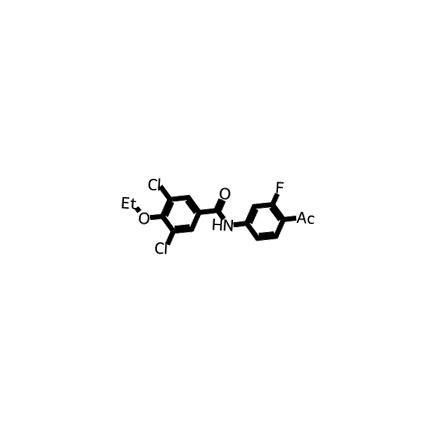 CCOc1c(Cl)cc(C(=O)Nc2ccc(C(C)=O)c(F)c2)cc1Cl